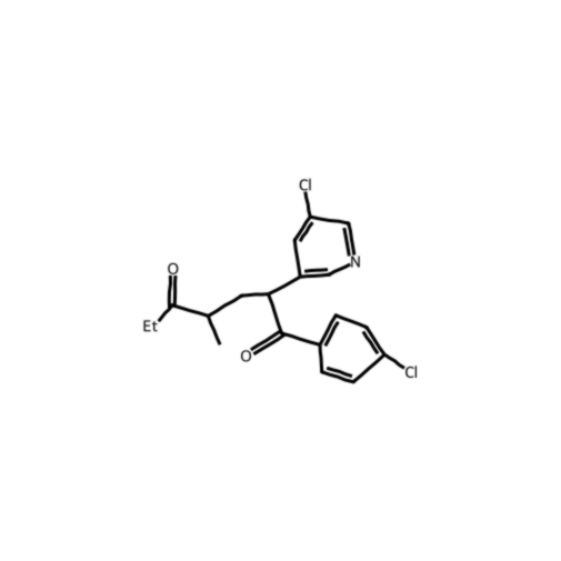 CCC(=O)C(C)CC(C(=O)c1ccc(Cl)cc1)c1cncc(Cl)c1